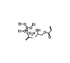 C=C(C)C(=O)O.C=CC(=O)OCC(C)O.CCO[SiH](OCC)OCC